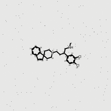 CNCC(CCN1CCC2(C=Cc3ccccc32)CC1)c1ccc(Cl)c(Cl)c1